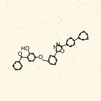 O=C(c1ccccc1)c1ccc(OCc2cccc(-c3nnc(-c4ccc(-c5ccccc5)cc4)o3)c2)cc1O